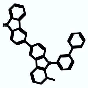 CC1CC=Cc2c1n(-c1cccc(-c3ccccc3)c1)c1ccc(-c3ccc4[nH]c5ccccc5c4c3)cc21